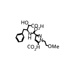 COCCn1nc(C(=O)NC(Cc2ccccc2)C(O)C(=O)O)cc1C(=O)O